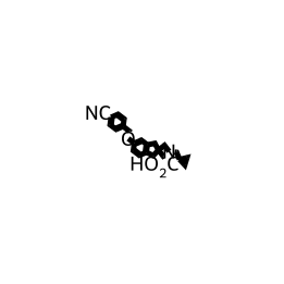 N#Cc1ccc(COc2ccc3c(c2)CC2(C3)CN(CC3(C(=O)O)CC3)C2)cc1